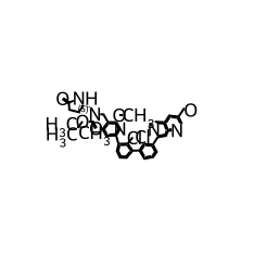 COc1nc(-c2cccc(-c3cccc(-c4cc5ncc(C=O)cc5cn4)c3Cl)c2Cl)ccc1CN(C[C@@H]1CCC(=O)N1)C(=O)OC(C)(C)C